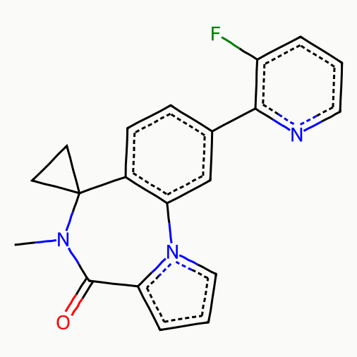 CN1C(=O)c2cccn2-c2cc(-c3ncccc3F)ccc2C12CC2